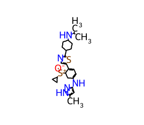 Cc1cc(NC2=CC=C(c3cnc(C4CCC(NC(C)C)CC4)s3)C([S+]([O-])C3CC3)C2)n[nH]1